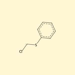 Cl[CH]Sc1ccccc1